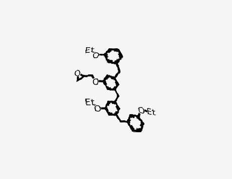 CCOc1cccc(Cc2cc(Cc3cc(Cc4cccc(OCC)c4)cc(OCC4CO4)c3)cc(OCC)c2)c1